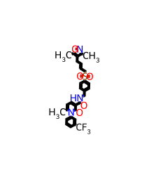 Cc1noc(C)c1CC=CCS(=O)(=O)c1ccc(CNC(=O)c2ccc(C)n(-c3cccc(C(F)(F)F)c3)c2=O)cc1